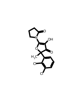 CC1(c2cccc(Cl)c2Cl)OC(N2CCCC2=O)=C(O)C1=O